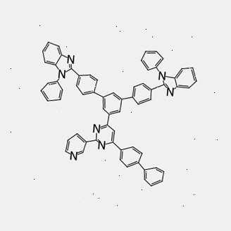 c1ccc(-c2ccc(-c3cc(-c4cc(-c5ccc(-c6nc7ccccc7n6-c6ccccc6)cc5)cc(-c5ccc(-c6nc7ccccc7n6-c6ccccc6)cc5)c4)nc(-c4cccnc4)n3)cc2)cc1